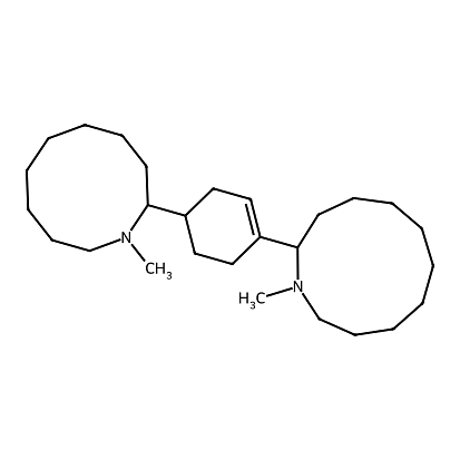 CN1CCCCCCCCCC1C1=CCC(C2CCCCCCCCN2C)CC1